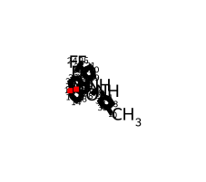 CCc1ccc(NC(=O)NC(Cc2ccccc2)(c2cccc(C(F)(F)F)c2)c2ccccn2)cc1